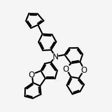 c1ccc(-c2ccc(N(c3ccc4c(c3)oc3ccccc34)c3cccc4c3Oc3ccccc3O4)cc2)cc1